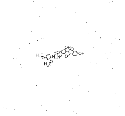 COc1ccc(N2CCN(Cc3c(O)cc(O)c4c3OC=C(c3ccc(O)cc3)C4C=O)CC2)c(OC)c1